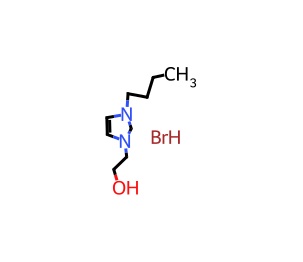 Br.CCCCN1C=CN(CCO)C1